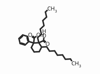 CCCCCCCCC1CCCC(C(=O)O)(c2ccccc2)C1(CCCCCCCC)C(=O)O